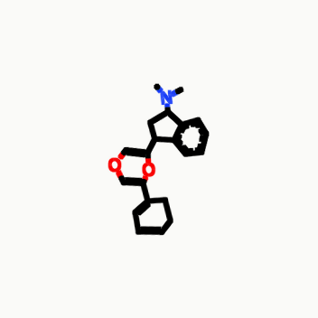 CN(C)C1CC(C2=COC=C(C3=CC=CCC3)O2)c2ccccc21